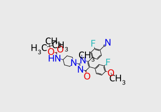 COc1ccc(-c2c(-c3ccc(C#N)c(F)c3)n(C)c(N3CCC(NC(=O)OC(C)(C)C)CC3)nc2=O)cc1F